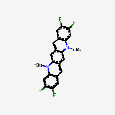 CCCCN1c2cc(F)c(F)cc2C=c2cc3c(cc21)=Cc1cc(F)c(F)cc1N3CCCC